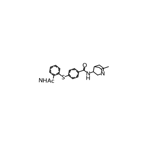 CC(=O)Nc1ccccc1Sc1ccc(C(=O)NC2CN3CCC2CC3C)cc1